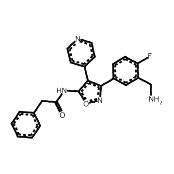 NCc1cc(-c2noc(NC(=O)Cc3ccccc3)c2-c2ccncc2)ccc1F